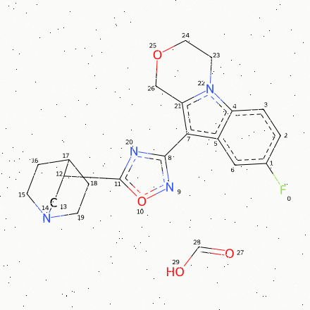 Fc1ccc2c(c1)c(-c1noc(C3CN4CCC3CC4)n1)c1n2CCOC1.O=CO